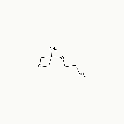 NCCOC1(N)COC1